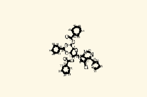 O=C(OC[C@H]1O[C@@H](n2cc(Cl)c3c(-c4cccs4)ncnc32)[C@H](OC(=O)c2ccccc2)[C@@H]1OC(=O)c1ccccc1)c1ccccc1